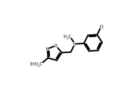 CCOC(=O)c1cc(CN(C)c2cccc(Cl)c2)on1